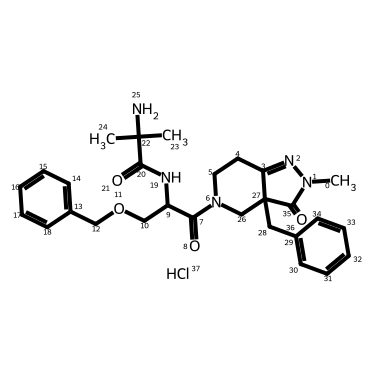 CN1N=C2CCN(C(=O)C(COCc3ccccc3)NC(=O)C(C)(C)N)CC2(Cc2ccccc2)C1=O.Cl